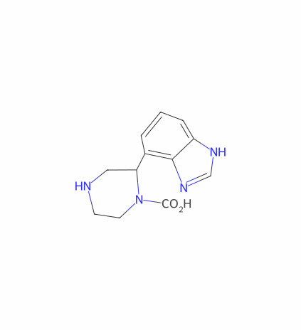 O=C(O)N1CCNCC1c1cccc2[nH]cnc12